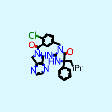 CC(C)CC1(c2ccccc2)NC(=N)N(Cc2ccc(Cl)c(C(=O)N3Cc4nccnc4C3)c2)C1=O